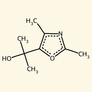 Cc1nc(C)c(C(C)(C)O)o1